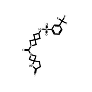 O=C1CCC2(CN(C(=O)N3CC4(CC(NS(=O)(=O)c5cccc(C(F)(F)F)c5)C4)C3)C2)N1